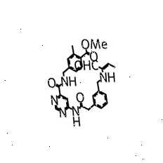 C/C=C(/C=O)NCc1cccc(CC(=O)Nc2cc(C(=O)NCc3ccc(C(=O)OC)c(C)c3)ncn2)c1